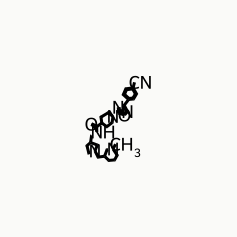 CN1CCCC(CN2CCC(CNC(=O)C3CCN(c4nc(-c5ccc(C#N)cc5)no4)CC3)C2)C1